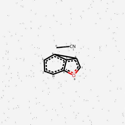 CC#N.c1cc2c3c-2coc3c1